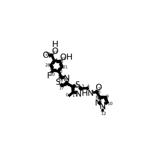 Cc1nc(CNC(=O)c2ccn(C)n2)sc1-c1csc(-c2cc(O)c(C(=O)O)cc2F)n1